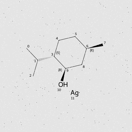 CC(C)[C@@H]1CC[C@@H](C)C[C@H]1O.[Ag]